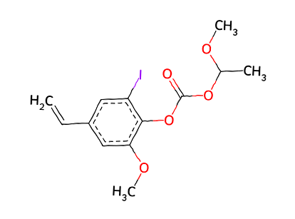 C=Cc1cc(I)c(OC(=O)OC(C)OC)c(OC)c1